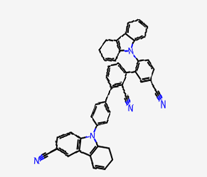 N#Cc1ccc(-n2c3c(c4ccccc42)CCC=C3)c(-c2cccc(-c3ccc(-n4c5c(c6cc(C#N)ccc64)C=CCC5)cc3)c2C#N)c1